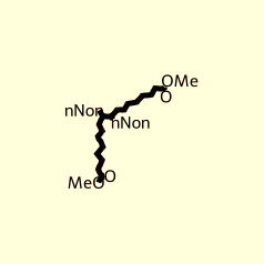 CCCCCCCCCC(CCCCCCCC(=O)OC)C(CCCCCCCCC)CCCCCCCC(=O)OC